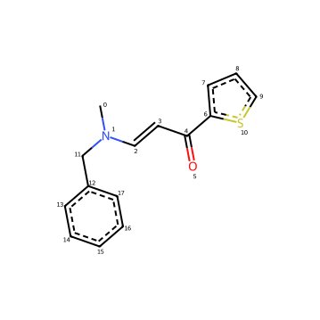 CN(C=CC(=O)c1cccs1)Cc1ccccc1